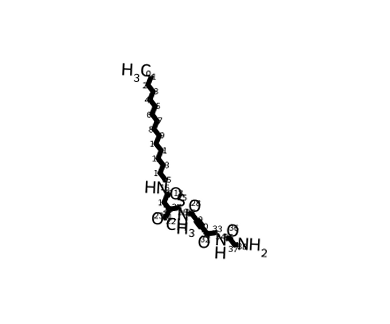 CCCCCCCCCCCCCCCCNC(=O)CC(C(C)=O)C(=S)NC(=O)C#CC(=O)CNC(=O)CN